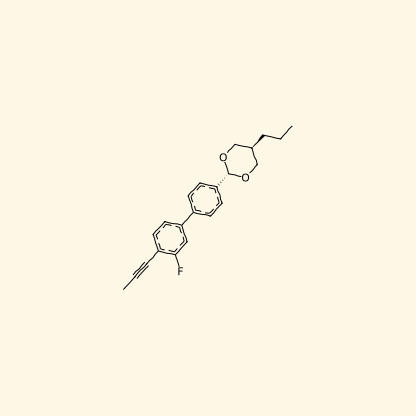 CC#Cc1ccc(-c2ccc([C@H]3OC[C@H](CCC)CO3)cc2)cc1F